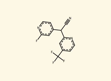 N#CC(c1ccnc(F)c1)c1cc(C(F)(F)F)ccn1